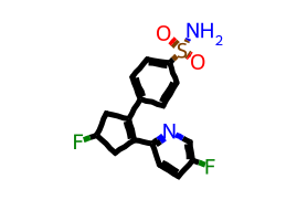 NS(=O)(=O)c1ccc(C2=C(c3ccc(F)cn3)CC(F)C2)cc1